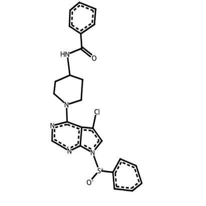 O=C(NC1CCN(c2ncnc3c2c(Cl)cn3[S+]([O-])c2ccccc2)CC1)c1ccccc1